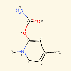 CC1=CCN(C)C(OC(N)=O)=C1